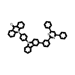 O=c1c2ccccc2n(-c2ccc(-n3c4ccccc4c4cc(-c5cccc(-c6nc(-c7ccccc7)cc(-c7ccccc7)n6)c5)ccc43)cc2)c2ccccc12